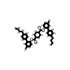 CCCCc1ccc(-c2cc(C)ccc2OC(=O)C2CCC(C(=O)Oc3ccc(C)cc3-c3ccc(CCCC)cc3)CC2)cc1